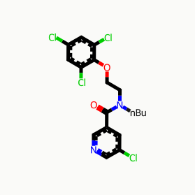 CCCCN(CCOc1c(Cl)cc(Cl)cc1Cl)C(=O)c1cncc(Cl)c1